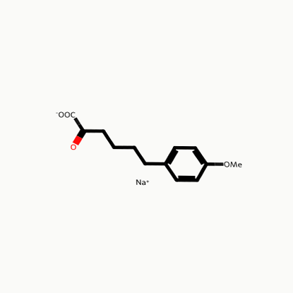 COc1ccc(CCCCC(=O)C(=O)[O-])cc1.[Na+]